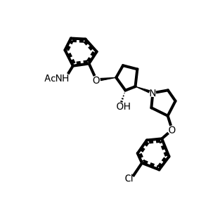 CC(=O)Nc1ccccc1O[C@H]1CC[C@@H](N2CCC(Oc3ccc(Cl)cc3)C2)[C@@H]1O